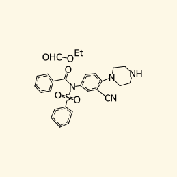 CCOC=O.N#Cc1cc(N(C(=O)c2ccccc2)S(=O)(=O)c2ccccc2)ccc1N1CCNCC1